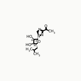 CC(=O)c1ncn([C@@H]2O[C@H](CC(C)C)[C@@H](O)[C@H]2O)n1